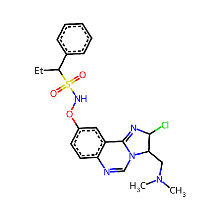 CCC(c1ccccc1)S(=O)(=O)NOc1ccc2c(c1)C1=NC(Cl)C(CN(C)C)N1C=N2